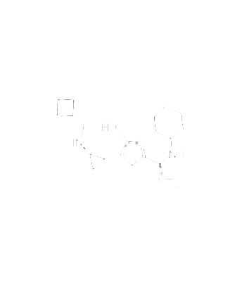 C=C(NC1CCOCC1)c1cc([C@@H]2C[C@H]2NCC2CCC2)c(C)s1